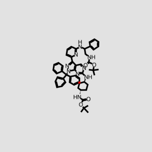 CC(C)(C)OC(=O)NCC(Nc1cccc(-c2nn(C(c3ccccc3)(c3ccccc3)c3ccccc3)c3nc(N[C@H]4CC[C@H](NC(=O)OC(C)(C)C)CC4)ncc23)n1)c1ccccc1